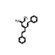 C=CC(=C)C=C(C=Cc1ccccc1)C=Cc1ccccc1